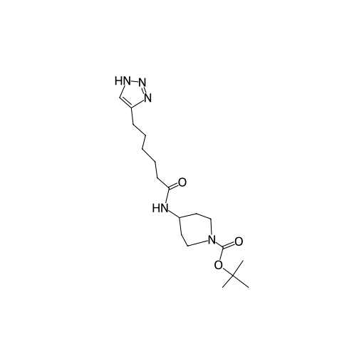 CC(C)(C)OC(=O)N1CCC(NC(=O)CCCCCc2c[nH]nn2)CC1